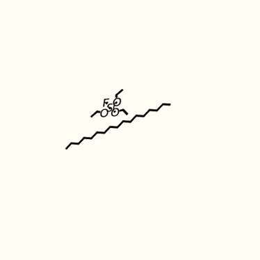 CCCCCCCCCCCCCCCCC.CCO[Si](F)(OCC)OCC